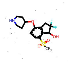 O=S(=O)(c1ccc(OC2CCNCC2)c2c1C(O)C(F)(F)C2)C(F)(F)F